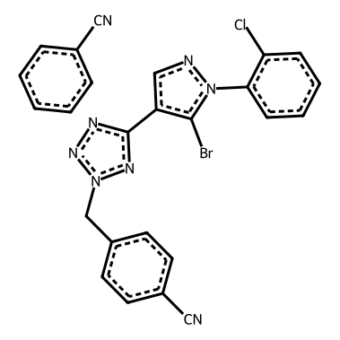 N#Cc1ccc(Cn2nnc(-c3cnn(-c4ccccc4Cl)c3Br)n2)cc1.N#Cc1ccccc1